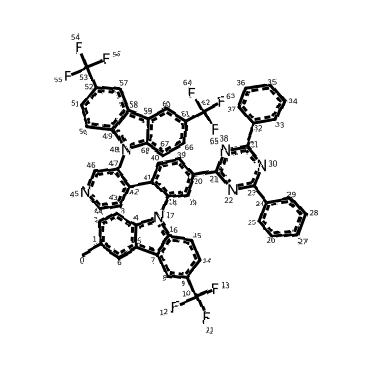 Cc1ccc2c(c1)c1cc(C(F)(F)F)ccc1n2-c1cc(-c2nc(-c3ccccc3)nc(-c3ccccc3)n2)ccc1-c1ccncc1-n1c2ccc(C(F)(F)F)cc2c2cc(C(F)(F)F)ccc21